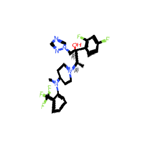 C[C@@H](N1CCC(N(C)c2ccccc2C(F)(F)F)CC1)[C@](O)(Cn1cncn1)c1ccc(F)cc1F